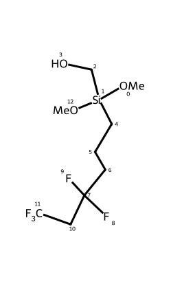 CO[Si](CO)(CCCC(F)(F)CC(F)(F)F)OC